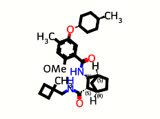 COc1cc(C)c(O[C@H]2CC[C@H](C)CC2)cc1C(=O)N[C@@H]1[C@H]2CC[C@H](C2)[C@@H]1C(=O)NCC1(C)CCC1